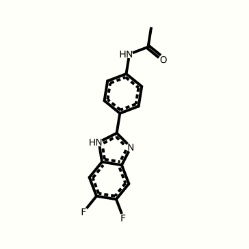 CC(=O)Nc1ccc(-c2nc3cc(F)c(F)cc3[nH]2)cc1